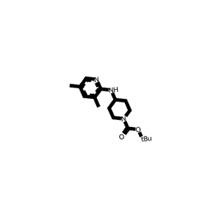 Cc1cnc(NC2CCN(C(=O)OC(C)(C)C)CC2)c(C)c1